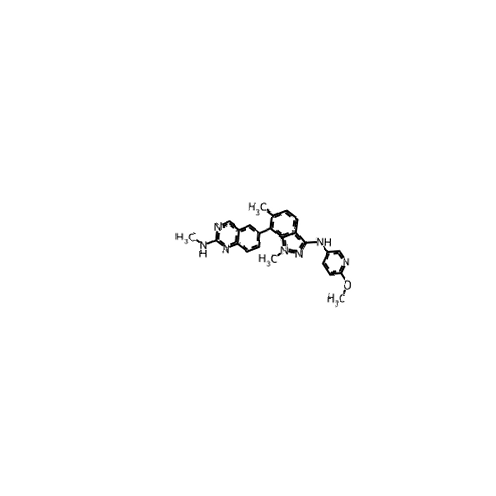 CNc1ncc2cc(-c3c(C)ccc4c(Nc5ccc(OC)nc5)nn(C)c34)ccc2n1